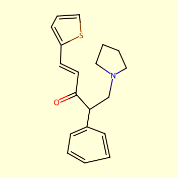 O=C(C=Cc1cccs1)C(CN1CCCC1)c1ccccc1